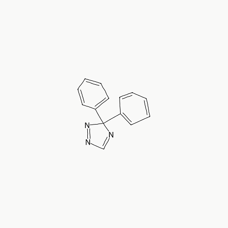 C1=NC(c2ccccc2)(c2ccccc2)N=N1